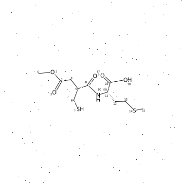 COC(=O)CC(CS)C(=O)N[C@@H](CCSC)C(=O)O